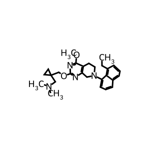 CCc1cccc2cccc(N3CCc4c(nc(OCC5(CN(C)C)CC5)nc4OC)C3)c12